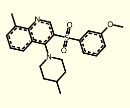 COc1cccc(S(=O)(=O)c2cnc3c(C)cccc3c2N2CCC(C)CC2)c1